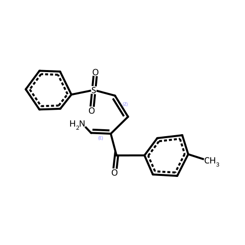 Cc1ccc(C(=O)C(/C=C\S(=O)(=O)c2ccccc2)=C/N)cc1